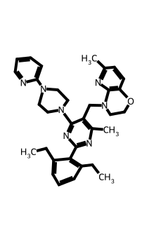 CCc1cccc(CC)c1-c1nc(C)c(CN2CCOc3ccc(C)nc32)c(N2CCN(c3ccccn3)CC2)n1